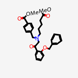 COC(=O)CCCCN(CC(=O)c1ccccc1OCc1ccccc1)Cc1ccc(C(=O)OC)cc1